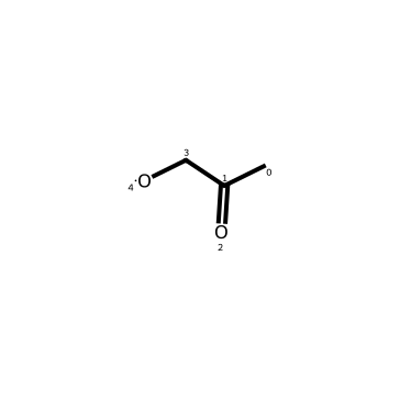 CC(=O)C[O]